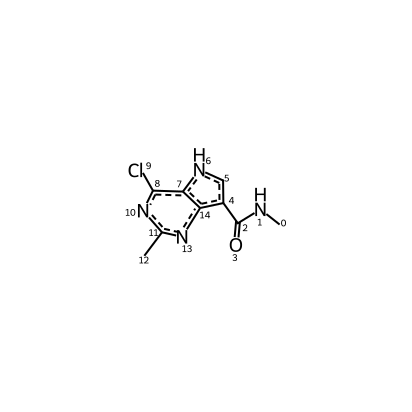 CNC(=O)c1c[nH]c2c(Cl)nc(C)nc12